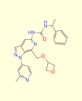 Cc1cc(-n2ncc3cc(NC(=O)NC(C)c4ccccc4)nc(COC4COC4)c32)ccn1